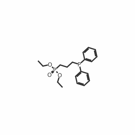 CCOP(=O)(CCCP(c1ccccc1)c1ccccc1)OCC